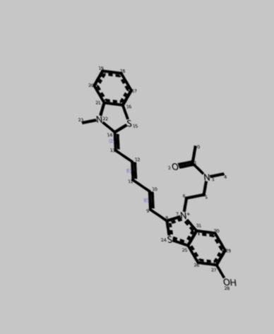 CC(=O)N(C)CC[n+]1c(/C=C/C=C/C=C2\Sc3ccccc3N2C)sc2cc(O)ccc21